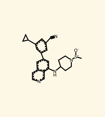 C[S+]([O-])N1CCC(Nc2cc(-c3cc(C#N)cc(C4CC4)c3)cc3ccncc23)CC1